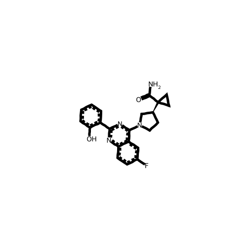 NC(=O)C1([C@H]2CCN(c3nc(-c4ccccc4O)nc4ccc(F)cc34)C2)CC1